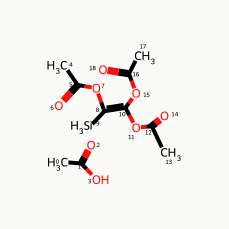 CC(=O)O.CC(=O)OC([SiH3])=C(OC(C)=O)OC(C)=O